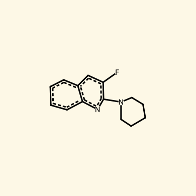 Fc1cc2ccccc2nc1N1CCCCC1